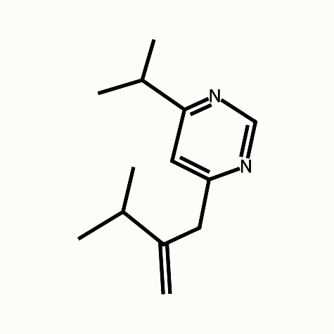 C=C(Cc1cc(C(C)C)ncn1)C(C)C